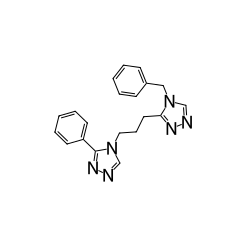 c1ccc(Cn2cnnc2CCCn2cnnc2-c2ccccc2)cc1